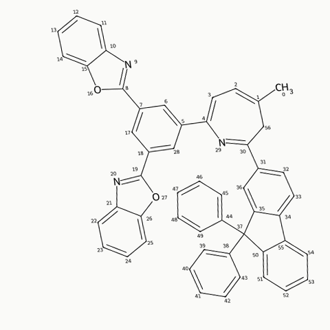 CC1=CC=C(c2cc(-c3nc4ccccc4o3)cc(-c3nc4ccccc4o3)c2)N=C(c2ccc3c(c2)C(c2ccccc2)(c2ccccc2)c2ccccc2-3)C1